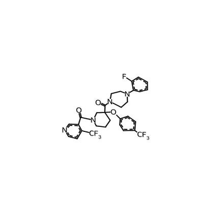 O=C(c1cnccc1C(F)(F)F)N1CCCC(Oc2ccc(C(F)(F)F)cc2)(C(=O)N2CCN(c3ccccc3F)CC2)C1